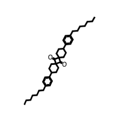 CCCCCCCc1ccc(C2CCC3(CC2)C(=O)C2(CCC(c4ccc(CCCCCCC)cc4)CC2)C3=O)cc1